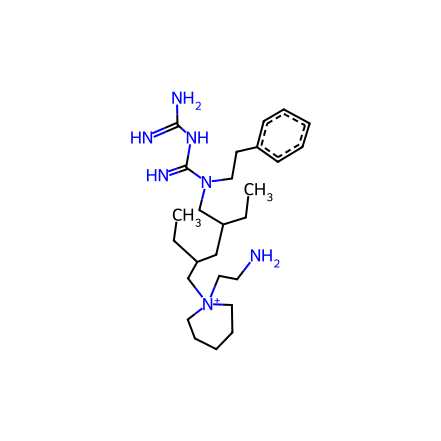 CCC(CC(CC)C[N+]1(CCN)CCCCC1)CN(CCc1ccccc1)C(=N)NC(=N)N